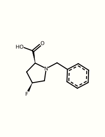 O=C(O)[C@@H]1C[C@H](F)CN1Cc1ccccc1